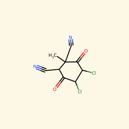 CC1(C#N)C(=O)C(Cl)C(Cl)C(=O)C1C#N